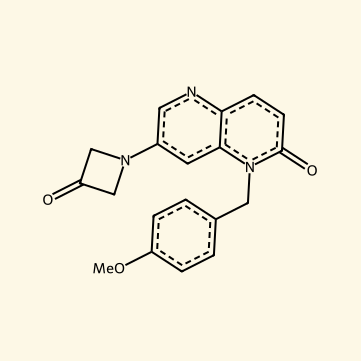 COc1ccc(Cn2c(=O)ccc3ncc(N4CC(=O)C4)cc32)cc1